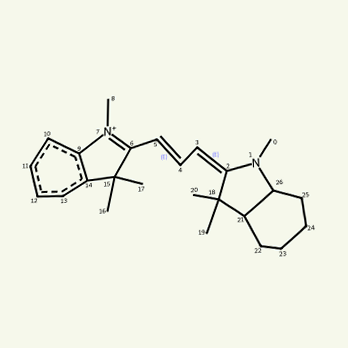 CN1/C(=C/C=C/C2=[N+](C)c3ccccc3C2(C)C)C(C)(C)C2CCCCC21